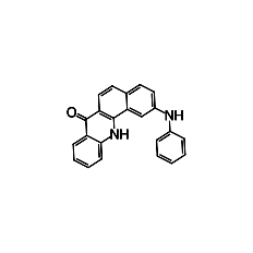 O=c1c2ccccc2[nH]c2c1ccc1ccc(Nc3ccccc3)cc12